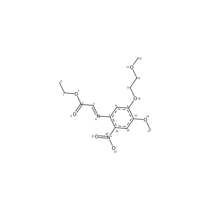 CCOC(=O)C=Nc1cc(OCCOC)c(OC)cc1[N+](=O)[O-]